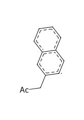 CC(=O)Cc1[c]cc2ccccc2c1